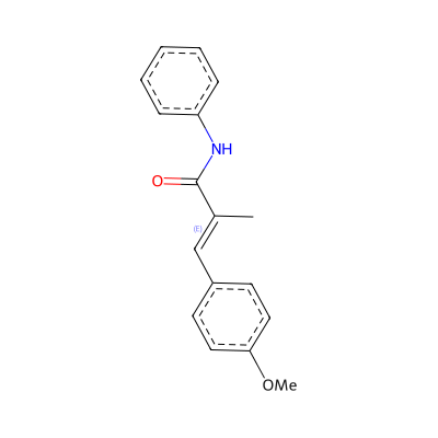 COc1ccc(/C=C(\C)C(=O)Nc2ccccc2)cc1